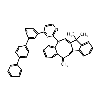 C=C1/C=C2\C(=C/N(c3nccc(-c4cccc(-c5ccc(-c6ccccc6)cc5)c4)n3)c3ccccc31)C(C)(C)c1ccccc12